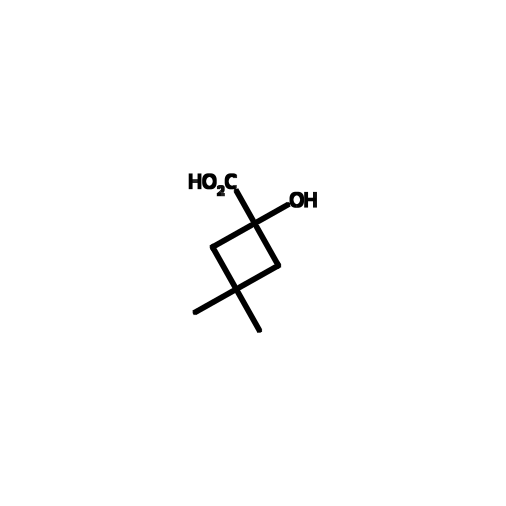 CC1(C)CC(O)(C(=O)O)C1